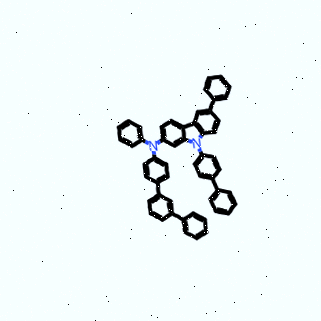 c1ccc(-c2ccc(-n3c4ccc(-c5ccccc5)cc4c4ccc(N(c5ccccc5)c5ccc(-c6cccc(-c7ccccc7)c6)cc5)cc43)cc2)cc1